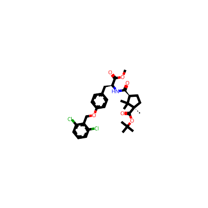 COC(=O)[C@H](Cc1ccc(OCc2c(Cl)cccc2Cl)cc1)NC(=O)[C@H]1CC[C@@](C)(C(=O)OC(C)(C)C)C1(C)C